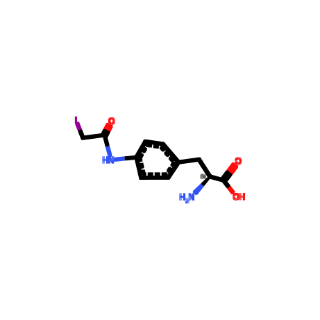 N[C@@H](Cc1ccc(NC(=O)CI)cc1)C(=O)O